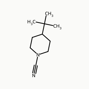 CC(C)(C)C1CCN(C#N)CC1